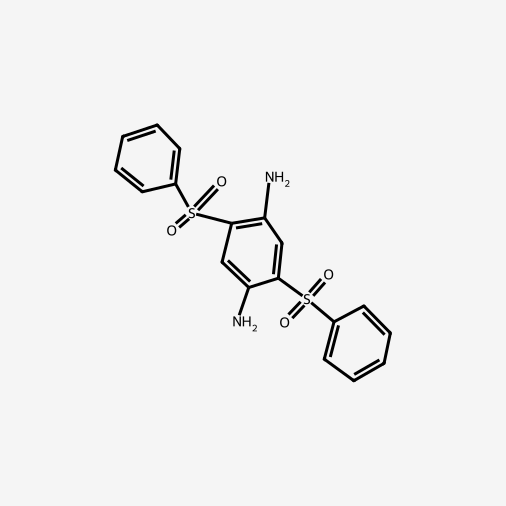 Nc1cc(S(=O)(=O)c2ccccc2)c(N)cc1S(=O)(=O)c1ccccc1